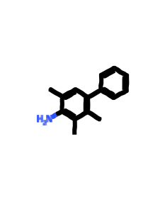 Cc1cc(-c2ccccc2)c(C)c(C)c1N